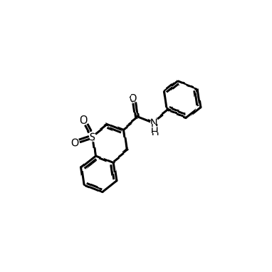 O=C(Nc1ccccc1)C1=CS(=O)(=O)c2ccccc2C1